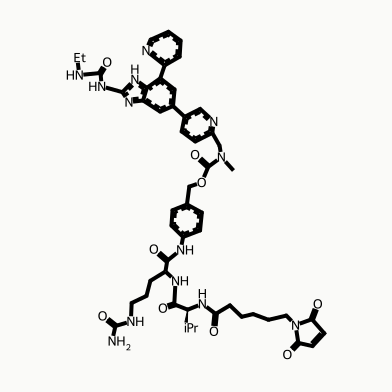 CCNC(=O)Nc1nc2cc(-c3ccc(CN(C)C(=O)OCc4ccc(NC(=O)C(CCCNC(N)=O)NC(=O)[C@@H](NC(=O)CCCCCN5C(=O)C=CC5=O)C(C)C)cc4)nc3)cc(-c3ccccn3)c2[nH]1